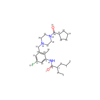 CCCC(CC)C(=O)Nc1cc(F)cc(CN2CCN(C(=O)C3CCCC3)CC2)c1C